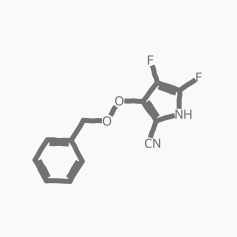 N#Cc1[nH]c(F)c(F)c1OOCc1ccccc1